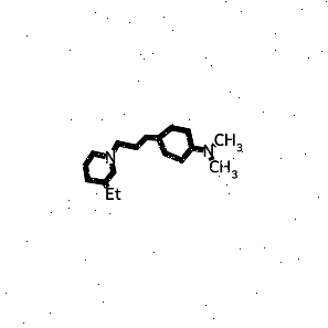 CCC1CCCN(CCCC2CCC(N(C)C)CC2)C1